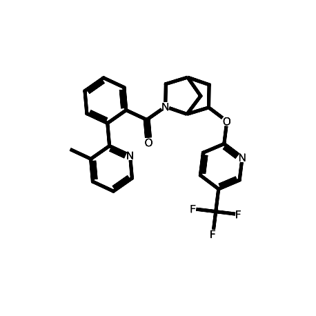 Cc1cccnc1-c1ccccc1C(=O)N1CC2CC(Oc3ccc(C(F)(F)F)cn3)C1C2